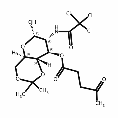 CC(=O)CCC(=O)O[C@@H]1[C@@H](NC(=O)C(Cl)(Cl)Cl)[C@@H](O)O[C@@H]2COC(C)(C)O[C@@H]12